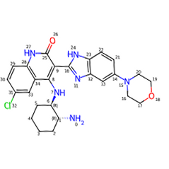 N[C@@H]1CCCC[C@H]1Nc1c(-c2nc3cc(N4CCOCC4)ccc3[nH]2)c(=O)[nH]c2ccc(Cl)cc12